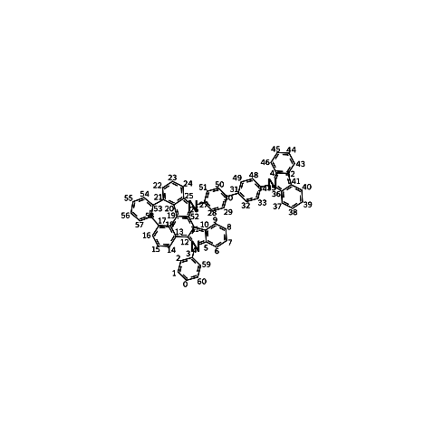 c1ccc(-n2c3ccccc3c3c2c2cccc4c2c2c5c(cccc5n(-c5ccc(-c6ccc(-n7c8ccccc8c8ccccc87)cc6)cc5)c23)-c2ccccc2-4)cc1